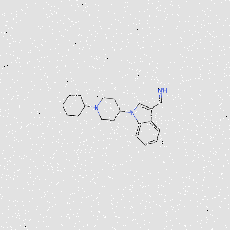 N=Cc1cn(C2CCN(C3CCCCC3)CC2)c2ccccc12